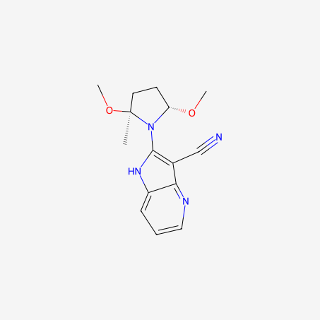 CO[C@H]1CC[C@](C)(OC)N1c1[nH]c2cccnc2c1C#N